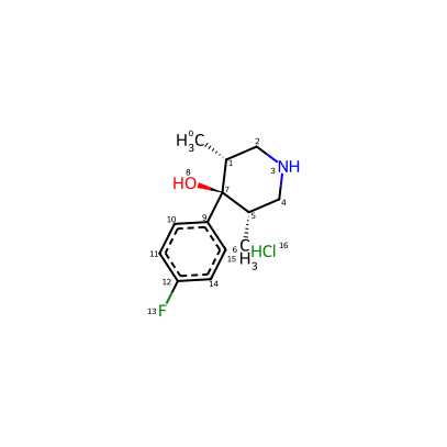 C[C@@H]1CNC[C@H](C)[C@]1(O)c1ccc(F)cc1.Cl